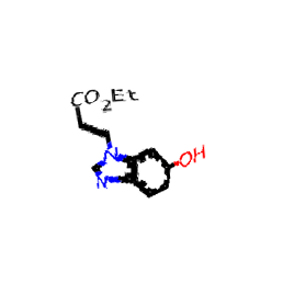 CCOC(=O)CCn1cnc2ccc(O)cc21